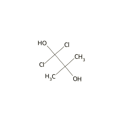 CC(C)(O)C(O)(Cl)Cl